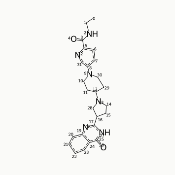 CCNC(=O)c1ccc(N2CCC(N3CCC(c4nc5ccccc5c(=O)[nH]4)C3)CC2)cn1